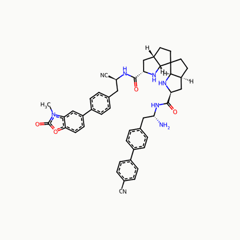 Cn1c(=O)oc2ccc(-c3ccc(C[C@@H](C#N)NC(=O)[C@@H]4C[C@@H]5CCC6(CC[C@H]7C[C@@H](C(=O)N[C@H](N)Cc8ccc(-c9ccc(C#N)cc9)cc8)N[C@H]76)[C@@H]5N4)cc3)cc21